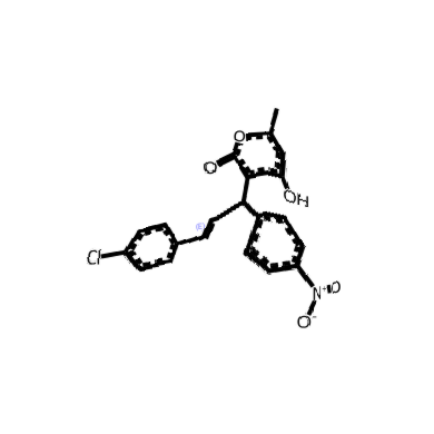 Cc1cc(O)c(C(/C=C/c2ccc(Cl)cc2)c2ccc([N+](=O)[O-])cc2)c(=O)o1